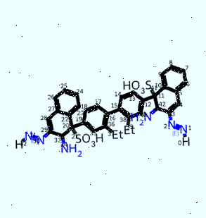 [H]/N=N/C1=Cc2ccccc2C(c2ccc(-c3ccc(C4(S(=O)(=O)O)c5ccccc5C=C(/N=N/[H])C4N)cc3CC)c(CC)c2)(S(=O)(=O)O)C1N